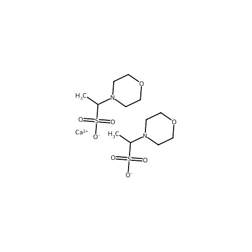 CC(N1CCOCC1)S(=O)(=O)[O-].CC(N1CCOCC1)S(=O)(=O)[O-].[Ca+2]